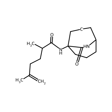 C=C(C)CCC(C)C(=O)NC12CCCC(CCC1)NC2=O